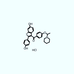 CC(Oc1ccc(C(=O)c2c(-c3ccc(O)cc3)sc3cc(O)ccc23)cc1)N1CCCCC1.Cl